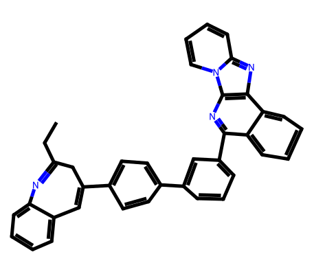 CCC1=Nc2ccccc2C=C(c2ccc(-c3cccc(-c4nc5c(nc6ccccn65)c5ccccc45)c3)cc2)C1